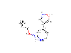 C=CCON1CN2CC=C(c3cnoc3)C1C2